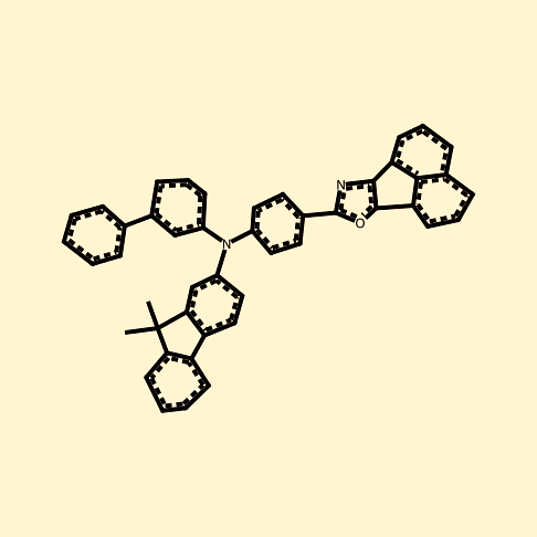 CC1(C)c2ccccc2-c2ccc(N(c3ccc(-c4nc5c(o4)-c4cccc6cccc-5c46)cc3)c3cccc(-c4ccccc4)c3)cc21